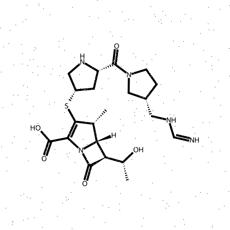 C[C@@H](O)[C@H]1C(=O)N2C(C(=O)O)=C(S[C@@H]3CN[C@H](C(=O)N4CC[C@H](CNC=N)C4)C3)[C@H](C)[C@H]12